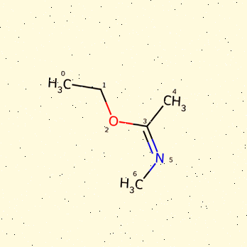 CCO/C(C)=N\C